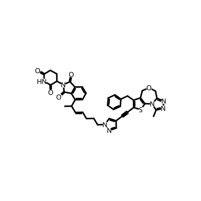 Cc1nnc2n1-c1sc(C#Cc3cnn(CCC/C=C/C(C)c4cccc5c4C(=O)N(C4CCC(=O)NC4=O)C5=O)c3)c(Cc3ccccc3)c1COC2